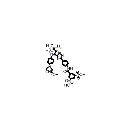 CCN(CCO)c1ccc(/N=C2/C(C(C)(C)C)=Nn3nc(-c4ccc(NC(=O)c5cc(S(=O)(=O)O)cc(S(=O)(=O)O)c5)cc4)nc32)cc1